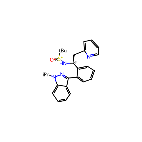 CC(C)n1nc(-c2ccccc2[C@H](Cc2ccccn2)N[S@@+]([O-])C(C)(C)C)c2ccccc21